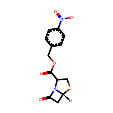 O=C(OCc1ccc([N+](=O)[O-])cc1)C1CS[C@@H]2CC(=O)N12